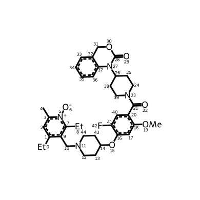 CCc1cc(C)[n+]([O-])c(CC)c1CN1CCC(Oc2cc(OC)c(C(=O)N3CCC(N4C(=O)OCc5ccccc54)CC3)cc2F)CC1